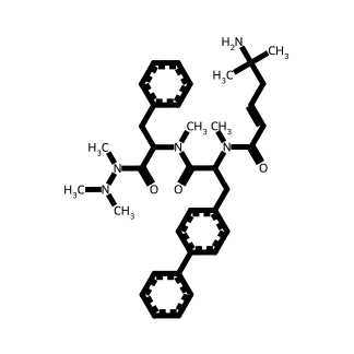 CN(C(=O)/C=C/CC(C)(C)N)C(Cc1ccc(-c2ccccc2)cc1)C(=O)N(C)C(Cc1ccccc1)C(=O)N(C)N(C)C